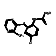 CCOC(=O)C(=O)Nc1ccc(Cl)cc1Nc1nccnc1C